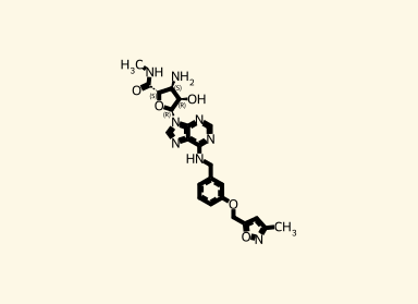 CNC(=O)[C@H]1O[C@@H](n2cnc3c(NCc4cccc(OCc5cc(C)no5)c4)ncnc32)[C@H](O)[C@@H]1N